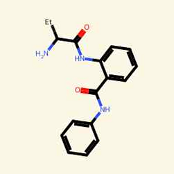 CCC(N)C(=O)Nc1ccccc1C(=O)Nc1ccccc1